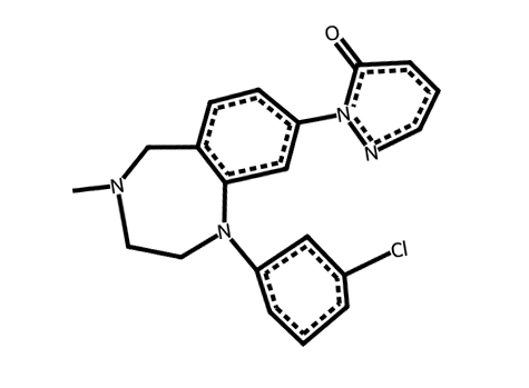 CN1CCN(c2cccc(Cl)c2)c2cc(-n3ncccc3=O)ccc2C1